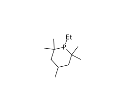 CCP1C(C)(C)CC(C)CC1(C)C